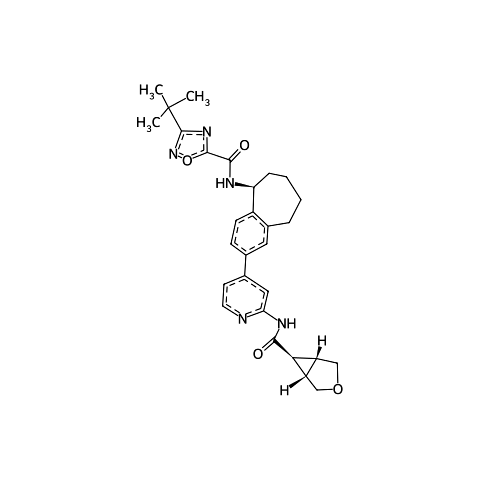 CC(C)(C)c1noc(C(=O)N[C@H]2CCCCc3cc(-c4ccnc(NC(=O)[C@H]5[C@@H]6COC[C@@H]65)c4)ccc32)n1